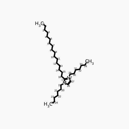 CCCCCCCCCCCCCCCCCc1n(CCCCCCC)cc[n+]1CCCCCCC